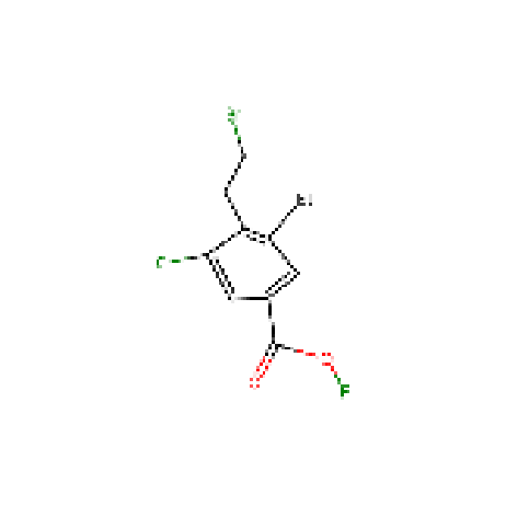 CCc1cc(C(=O)OF)cc(Cl)c1CCBr